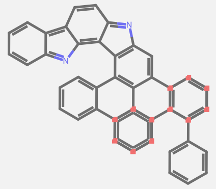 c1ccc(-c2ccccc2-c2ccccc2-c2c(-c3ccccc3)cc3c(c2-c2ccccc2-c2ccccc2)-c2c4c(ccc2=N3)=c2ccccc2=N4)cc1